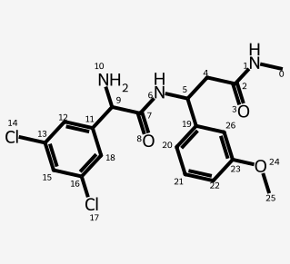 CNC(=O)CC(NC(=O)C(N)c1cc(Cl)cc(Cl)c1)c1cccc(OC)c1